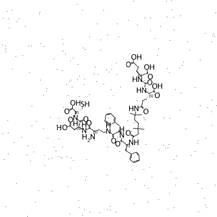 CC(C)(CCC(C)(C)NC(=O)CC[C@H](NC(=O)N[C@@H](CCC(=O)O)C(=O)O)C(=O)O)CC(=O)N[C@@H](Cc1ccccc1)C(=O)N[C@@H](Cc1ccccc1)C(=O)NCC[C@H](N)C(=O)N[C@@H](CC(=O)O)C(=O)N[C@@H](CS)C(=O)O